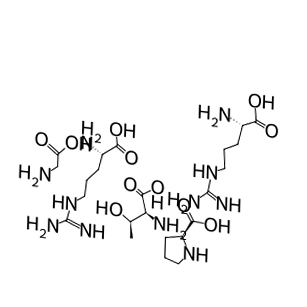 C[C@@H](O)[C@H](N)C(=O)O.N=C(N)NCCC[C@H](N)C(=O)O.N=C(N)NCCC[C@H](N)C(=O)O.NCC(=O)O.O=C(O)[C@@H]1CCCN1